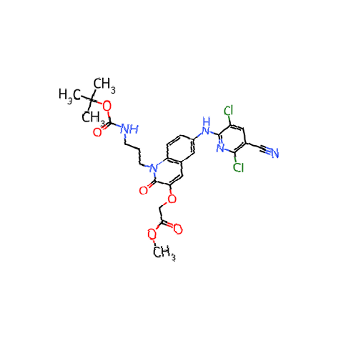 COC(=O)COc1cc2cc(Nc3nc(Cl)c(C#N)cc3Cl)ccc2n(CCCNC(=O)OC(C)(C)C)c1=O